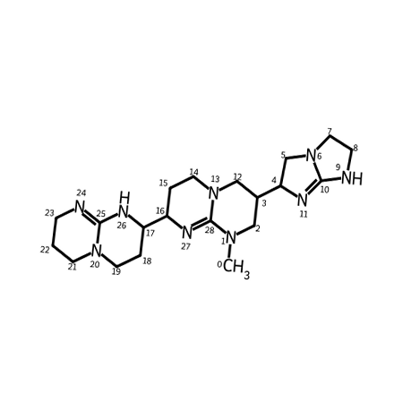 CN1CC(C2CN3CCNC3=N2)CN2CCC(C3CCN4CCCN=C4N3)N=C12